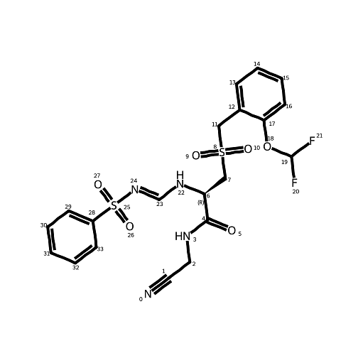 N#CCNC(=O)[C@H](CS(=O)(=O)Cc1ccccc1OC(F)F)NC=NS(=O)(=O)c1ccccc1